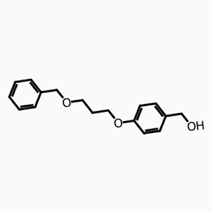 OCc1ccc(OCCCOCc2ccccc2)cc1